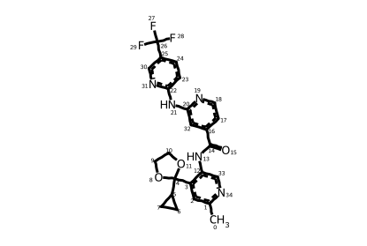 Cc1cc(C2(C3CC3)OCCO2)c(NC(=O)c2ccnc(Nc3ccc(C(F)(F)F)cn3)c2)cn1